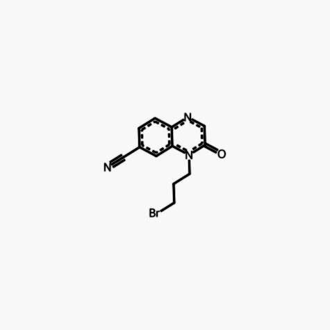 N#Cc1ccc2ncc(=O)n(CCCBr)c2c1